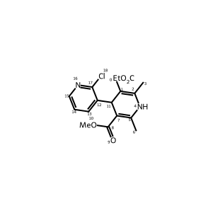 CCOC(=O)C1=C(C)NC(C)=C(C(=O)OC)C1c1cccnc1Cl